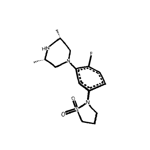 C[C@@H]1CN(c2cc(N3CCCS3(=O)=O)ccc2F)C[C@H](C)N1